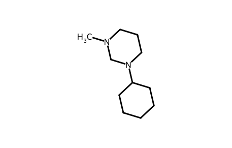 CN1CCCN(C2CCCCC2)C1